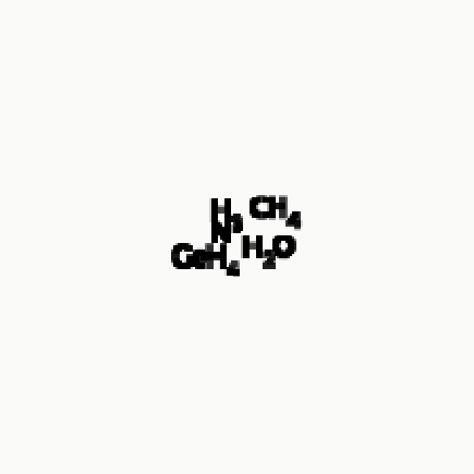 C.N.O.[GeH4]